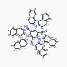 N#Cc1c(-n2c3c(c4c5ccccc5ccc42)-c2ccccc2CC3)c(C#N)c(-n2c3ccc4ccccc4c3c3c4ccccc4ccc32)c(C#N)c1-n1c2ccc3ccccc3c2c2c3ccccc3ccc21